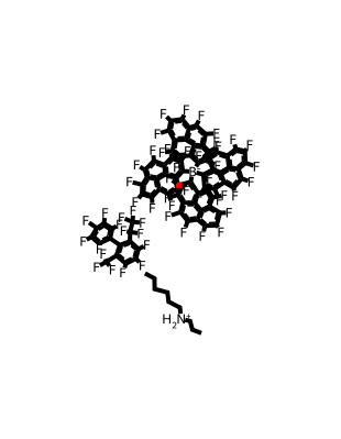 CCCCCC[NH2+]CCC.Fc1c(F)c(F)c(-c2c(C(F)(F)F)c(F)c(F)c(F)c2C(F)(F)C(F)(F)F)c(F)c1F.Fc1c(F)c2c(F)c(F)c3c(F)c(F)c([B-](c4c(F)c(F)c5c(F)c(F)c6c(F)c(F)c(F)c7c(F)c(F)c4c5c67)(c4c(F)c(F)c5c(F)c(F)c6c(F)c(F)c(F)c7c(F)c(F)c4c5c67)c4c(F)c(F)c5c(F)c(F)c6c(F)c(F)c(F)c7c(F)c(F)c4c5c67)c4c(F)c(F)c(c1F)c2c34